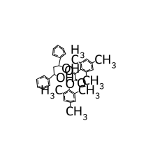 Cc1cc(C)c(OC(=O)C(=O)c2c(C)cc(C)cc2C)c(C)c1.OC(CC(O)c1ccccc1)c1ccccc1